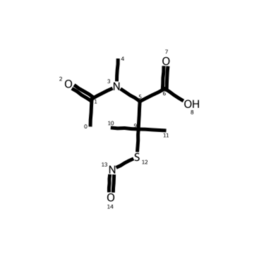 CC(=O)N(C)C(C(=O)O)C(C)(C)SN=O